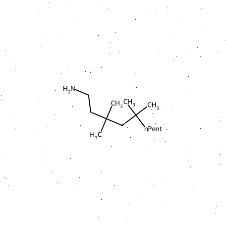 CCCCCC(C)(C)CC(C)(C)CCN